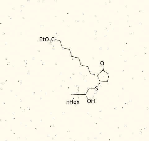 CCCCCCC(C)(C)C(O)CSC1CCC(=O)C1CCCCCCCCC(=O)OCC